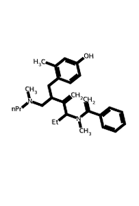 C=C(C(Cc1ccc(O)cc1C)CN(C)CCC)C(CC)N(C)C(=C)c1ccccc1